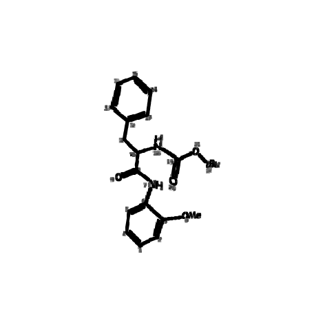 COc1ccccc1NC(=O)C(Cc1ccccc1)NC(=O)OC(C)(C)C